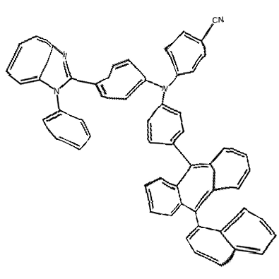 N#Cc1ccc(N(c2ccc(-c3c4ccccc4c(-c4cccc5ccccc45)c4ccccc34)cc2)c2ccc(-c3nc4ccccc4n3-c3ccccc3)cc2)cc1